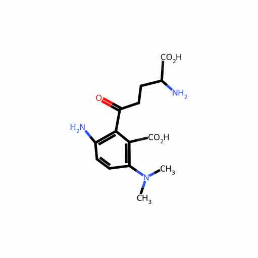 CN(C)c1ccc(N)c(C(=O)CCC(N)C(=O)O)c1C(=O)O